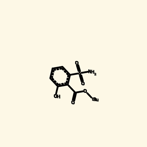 CC(C)(C)OC(=O)c1c(O)cccc1S(N)(=O)=O